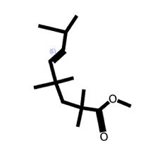 COC(=O)C(C)(C)CC(C)(C)/C=C/C(C)C